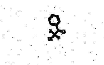 CCC(F)(F)C(=O)c1ccccc1